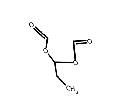 CCC(OC=O)OC=O